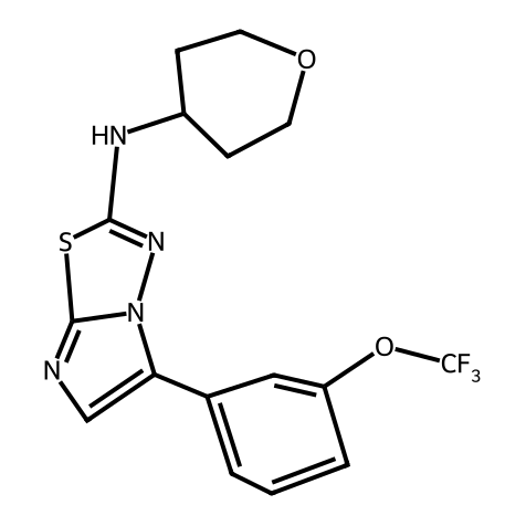 FC(F)(F)Oc1cccc(-c2cnc3sc(NC4CCOCC4)nn23)c1